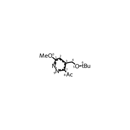 COc1cc(COC(C)(C)C)c(C(C)=O)nn1